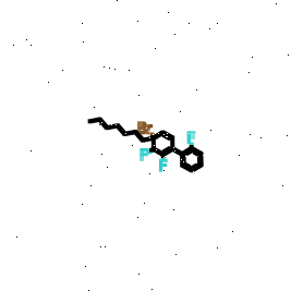 CCCCCCCC1(Br)C=CC(c2ccccc2F)=C(F)C1F